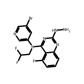 NNc1nc(N(CC(F)F)c2cncc(Br)c2)c2c(F)cccc2n1